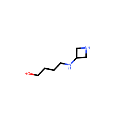 OCCCCNC1CNC1